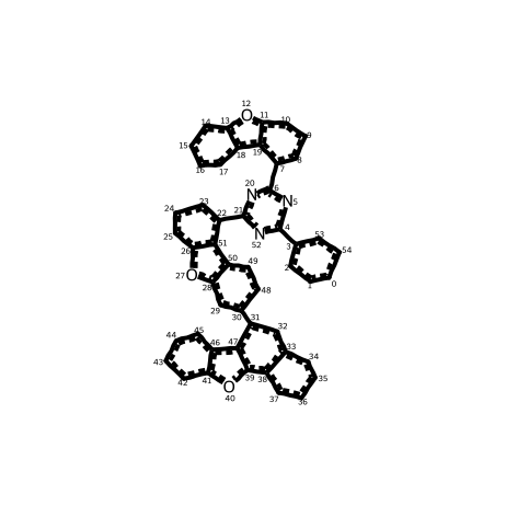 c1ccc(-c2nc(-c3cccc4oc5ccccc5c34)nc(-c3cccc4oc5cc(-c6cc7ccccc7c7oc8ccccc8c67)ccc5c34)n2)cc1